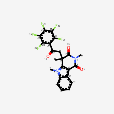 CN1C(=O)c2c(n(C)c3ccccc23)C(C)(CC(=O)c2c(F)c(F)c(F)c(F)c2F)C1=O